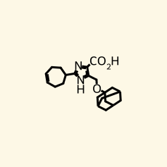 O=C(O)c1nc(C2CCC=CCC2)[nH]c1COC12CC3CC(CC(C3)C1)C2